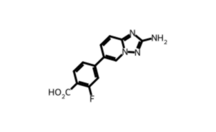 Nc1nc2ccc(-c3ccc(C(=O)O)c(F)c3)cn2n1